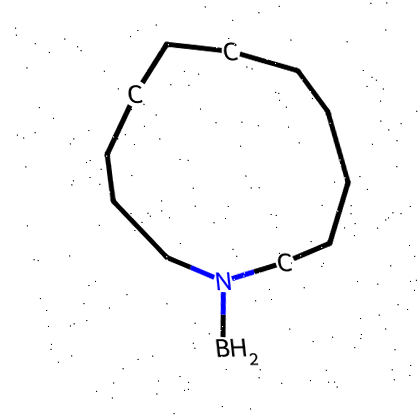 BN1CCCCCCCCCCC1